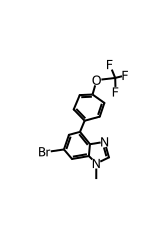 Cn1cnc2c(-c3ccc(OC(F)(F)F)cc3)cc(Br)cc21